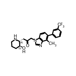 Cc1c(-c2cccc(C(F)(F)F)c2)ccc2c1ncn2CC(=O)C[C@H]1NCCC[C@@H]1O